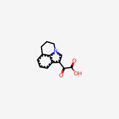 O=C(O)C(=O)c1cn2c3c(cccc13)CCC2